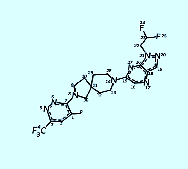 Cc1cc(C(F)(F)F)nnc1N1CCC2(CCN(c3cnc4cnn(CC(F)F)c4n3)CC2)C1